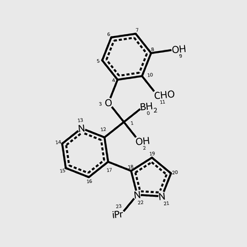 BC(O)(Oc1cccc(O)c1C=O)c1ncccc1-c1ccnn1C(C)C